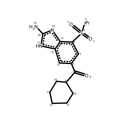 CC(C)S(=O)(=O)c1cc(C(=O)C2CCCCC2)cc2[nH]c(N)nc12